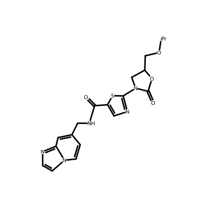 CC(C)OCC1CN(c2ncc(C(=O)NCc3ccn4ccnc4c3)s2)C(=O)O1